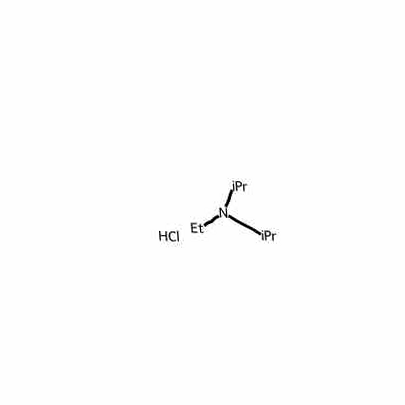 CCN(C(C)C)C(C)C.Cl